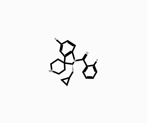 O=C(c1ccccc1F)N1c2ccc(F)cc2C2(CCNCC2)[C@H]1CC1CC1